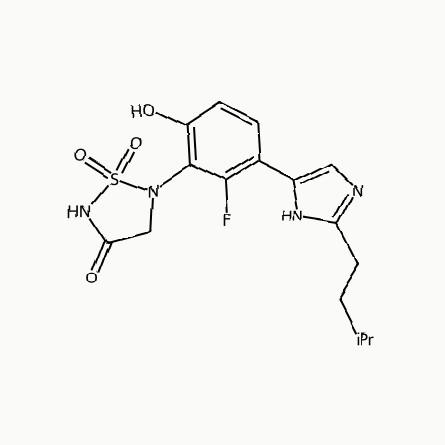 CC(C)CCc1ncc(-c2ccc(O)c(N3CC(=O)NS3(=O)=O)c2F)[nH]1